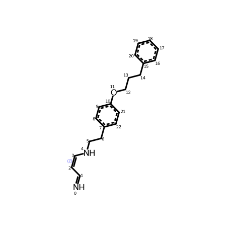 N=C/C=C\NCCc1ccc(OCCCc2ccccc2)cc1